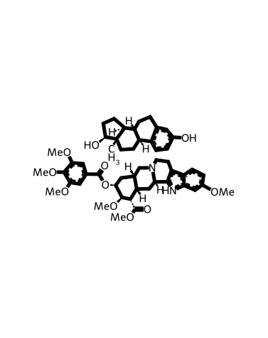 COC(=O)[C@H]1[C@H]2C[C@@H]3c4[nH]c5cc(OC)ccc5c4CCN3C[C@H]2C[C@@H](OC(=O)c2cc(OC)c(OC)c(OC)c2)[C@@H]1OC.C[C@]12CC[C@@H]3c4ccc(O)cc4CC[C@H]3[C@@H]1CC[C@@H]2O